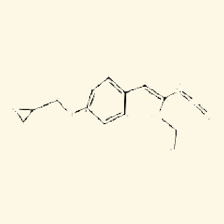 CCOC(=Cc1ccc(OCC2CO2)cc1)N=C=O